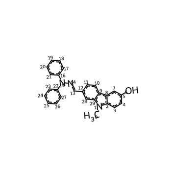 Cn1c2ccc(O)cc2c2ccc(/C=N/N(c3ccccc3)c3ccccc3)cc21